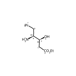 CCOC(=O)C[C@H](O)[C@@H](N)CC(C)C